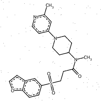 Cc1cc(N2CCC(N(C)C(=O)CCS(=O)(=O)c3ccc4occc4c3)CC2)ccn1